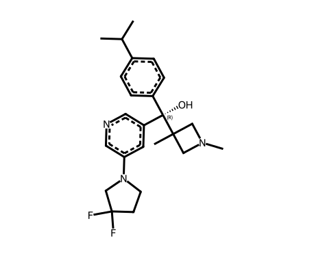 CC(C)c1ccc([C@](O)(c2cncc(N3CCC(F)(F)C3)c2)C2(C)CN(C)C2)cc1